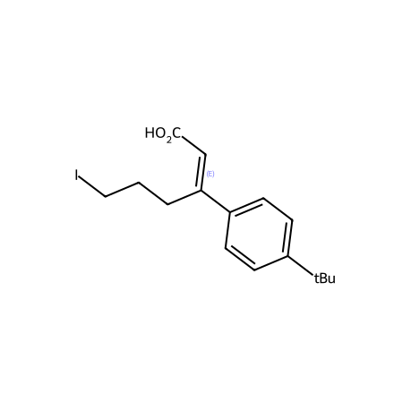 CC(C)(C)c1ccc(/C(=C/C(=O)O)CCCI)cc1